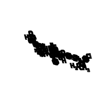 [2H]C1([2H])N(CC[C@H](CSc2ccccc2)Nc2ccc(S(=O)(=O)NC(=O)c3ccc(N4CCN(CC5=C(c6ccc(Cl)cc6)CCC(C)(C)C5)CC4)cc3)cc2S(=O)(=O)C(F)(F)F)C([2H])([2H])C([2H])([2H])N(Cc2ccc(N3CCC(=O)NC3=O)cc2)C1([2H])[2H]